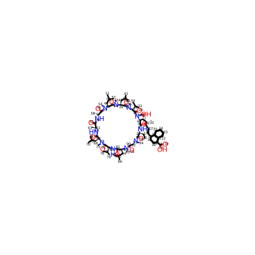 CC[C@@H]1NC(=O)[C@H]([C@H](O)[C@H](C)CC=Cc2ccc(C(=O)O)c3ccccc23)N(C)C(=O)[C@H](C(C)C)N(C)C(=O)[C@H](CC(C)C)N(C)C(=O)[C@H](CC(C)C)N(C)C(=O)[C@@H](C)NC(=O)[C@H](C)NC(=O)[C@H](CC(C)C)N(C)C(=O)[C@H](C(C)C)NC(=O)[C@H](CC(C)C)N(C)C(=O)CN(C)C1=O